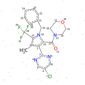 Cc1c(-c2ncc(Cl)cn2)c(C(=O)N2CCOCC2)n(Cc2ccccc2)c1C(F)(F)F